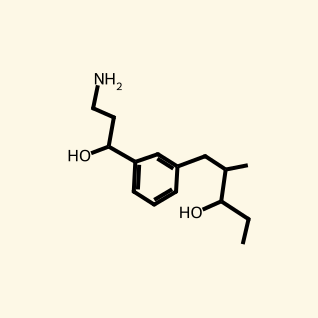 CCC(O)C(C)Cc1cccc(C(O)CCN)c1